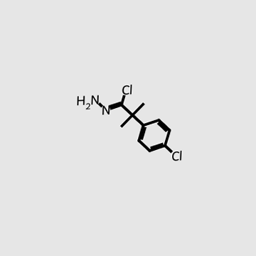 CC(C)(C(Cl)=NN)c1ccc(Cl)cc1